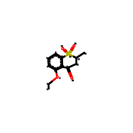 CCOc1cccc2c1C(=O)CC(C)S2(=O)=O